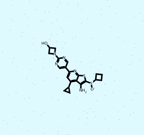 Nc1c([S+]([O-])C2CCC2)sc2nc(-c3cnc(N4CC(O)C4)nc3)cc(C3CC3)c12